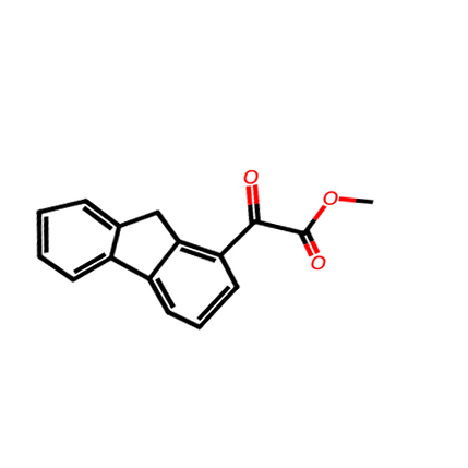 COC(=O)C(=O)c1cccc2c1Cc1ccccc1-2